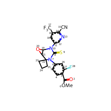 COC(=O)c1ccc(N2C(=S)N(c3cnc(C#N)c(C(F)(F)F)c3)C3OC3C23CCC3)cc1F